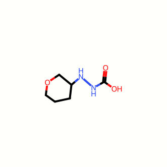 O=C(O)NNC1CCCOC1